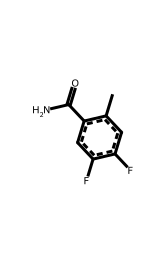 Cc1cc(F)c(F)cc1C(N)=O